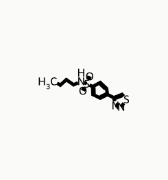 CCCCNS(=O)(=O)c1ccc(-c2csnn2)cc1